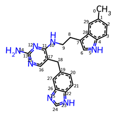 Cc1ccc2[nH]cc(CCNc3nc(N)ncc3Cc3ccc4[nH]cnc4c3)c2c1